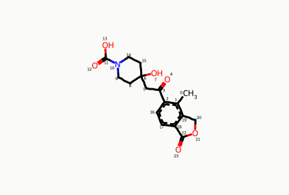 Cc1c(C(=O)CC2(O)CCN(C(=O)O)CC2)ccc2c1COC2=O